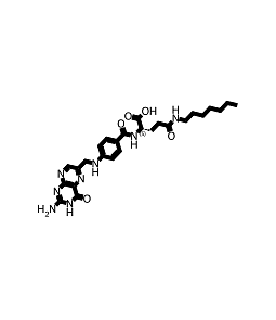 CCCCCCCNC(=O)CC[C@H](NC(=O)c1ccc(NCc2cnc3nc(N)[nH]c(=O)c3n2)cc1)C(=O)O